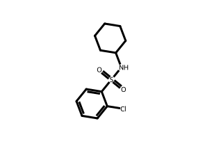 O=S(=O)(NC1CCCCC1)c1ccccc1Cl